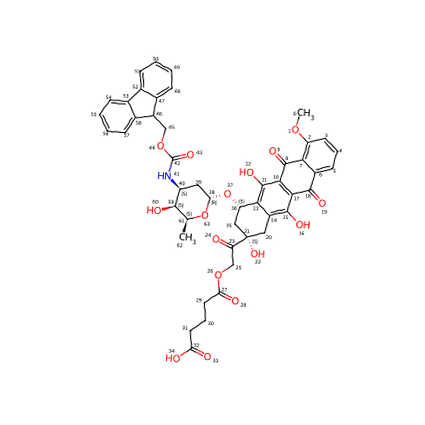 COc1cccc2c1C(=O)c1c(O)c3c(c(O)c1C2=O)C[C@@](O)(C(=O)COC(=O)CCCC(=O)O)C[C@@H]3O[C@H]1C[C@H](NC(=O)OCC2c3ccccc3-c3ccccc32)[C@H](O)[C@H](C)O1